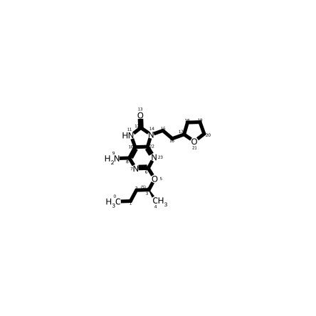 CCC[C@H](C)Oc1nc(N)c2[nH]c(=O)n(CCC3CCCO3)c2n1